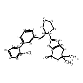 CC1(C)CC(=O)c2sc(N3CCOC[C@@H]3Cc3cccc(-c4ccccc4Cl)c3)nc2C1